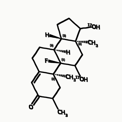 CC1C[C@@]2(C)C(=CC1=O)CC[C@H]1[C@@H]3CCC([17OH])[C@@]3(C)CC([17OH])[C@@]12F